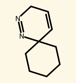 C1=CC2(CCCCC2)N=NC1